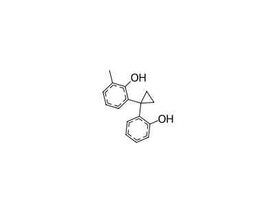 Cc1cccc(C2(c3ccccc3O)CC2)c1O